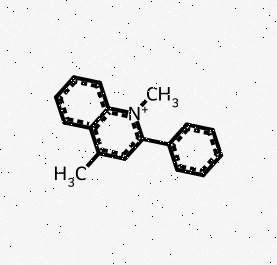 Cc1cc(-c2ccccc2)[n+](C)c2ccccc12